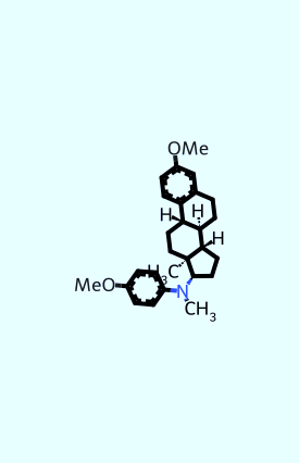 COc1ccc(N(C)[C@@H]2CC[C@H]3[C@@H]4CCc5cc(OC)ccc5[C@H]4CC[C@@]32C)cc1